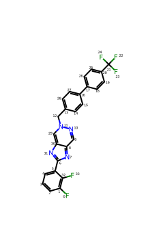 Fc1cccc(-c2nc3cnn(Cc4ccc(-c5ccc(C(F)(F)F)cc5)cc4)cc-3n2)c1F